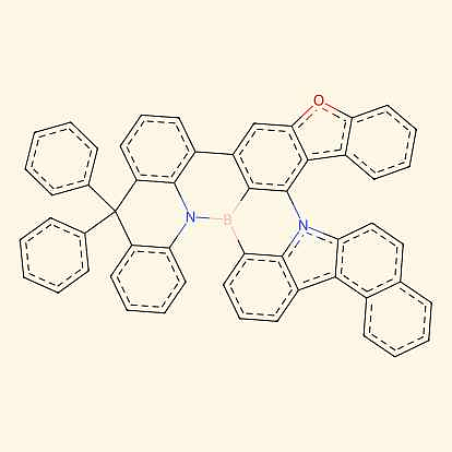 c1ccc(C2(c3ccccc3)c3ccccc3N3B4c5c(cc6oc7ccccc7c6c5-n5c6ccc7ccccc7c6c6cccc4c65)-c4cccc2c43)cc1